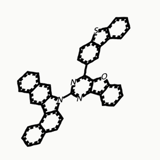 c1ccc2cc3c(cc2c1)c1c2ccccc2ccc1n3-c1nc(-c2ccc3sc4ccccc4c3c2)c2oc3ccccc3c2n1